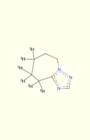 [2H]C1([2H])CCn2ncnc2C([2H])([2H])C1([2H])[2H]